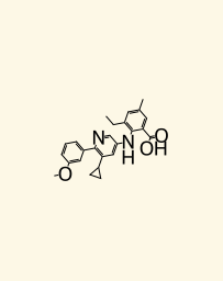 CCc1cc(C)cc(C(=O)O)c1Nc1cnc(-c2cccc(OC)c2)c(C2CC2)c1